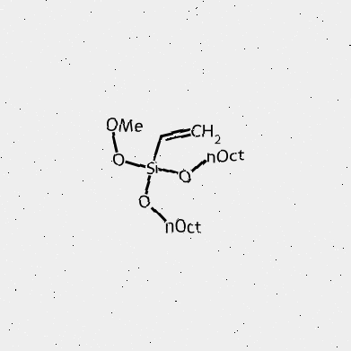 C=C[Si](OCCCCCCCC)(OCCCCCCCC)OOC